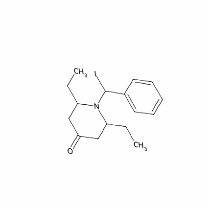 CCC1CC(=O)CC(CC)N1C(I)c1ccccc1